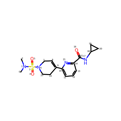 CN(C)S(=O)(=O)N1CC=C(c2cccc(C(=O)NC3CC3)n2)CC1